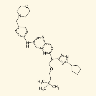 C[Si](C)(C)CCOCN(c1ccc2ncc(Nc3ccc(CN4CCOCC4)cc3)cc2n1)c1nnc(C2CCCC2)s1